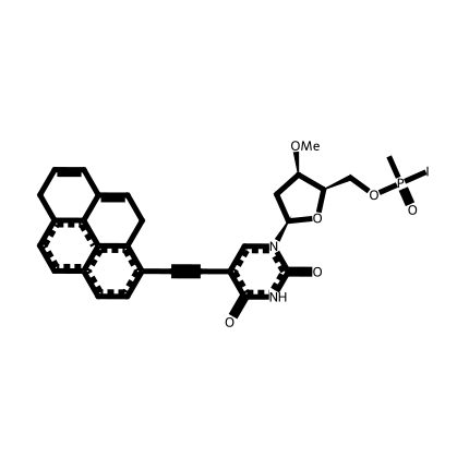 CO[C@@H]1C[C@H](n2cc(C#Cc3ccc4ccc5c6c4c3CC=C6C=CC5)c(=O)[nH]c2=O)O[C@@H]1COP(C)(=O)I